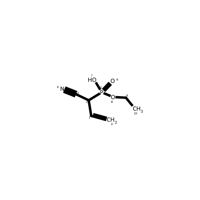 C=CC(C#N)P(=O)(O)OCC